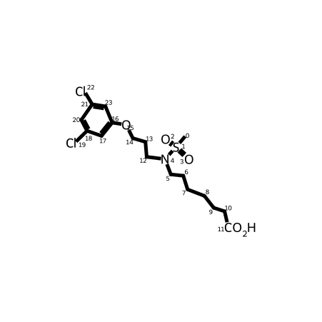 CS(=O)(=O)N(CCCCCCC(=O)O)CCCOc1cc(Cl)cc(Cl)c1